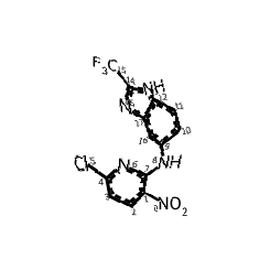 O=[N+]([O-])c1ccc(Cl)nc1Nc1ccc2[nH]c(C(F)(F)F)nc2c1